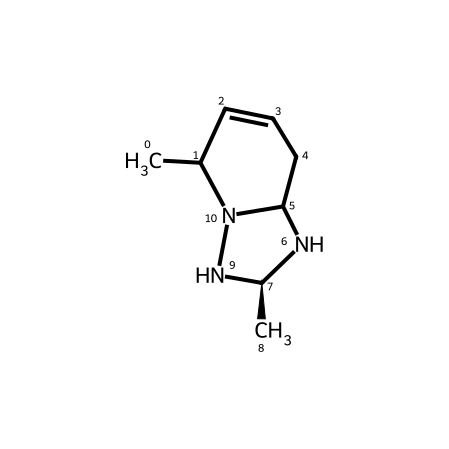 CC1C=CCC2N[C@@H](C)NN12